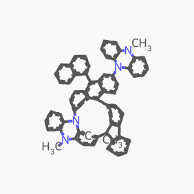 CN1c2ccccc2N(c2ccc3c4c5cc(ccc5c(-c5cccc6ccccc56)c3c2)N2c3ccccc3N(C)c3ccc(cc32)C2(C)c3ccccc3-c3ccc-4cc32)c2ccccc21